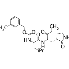 C=CC(=O)[C@H](C[C@@H]1CCNC1=O)NC(=O)[C@H](CC(C)C)NC(=O)OCc1cccc(C)c1